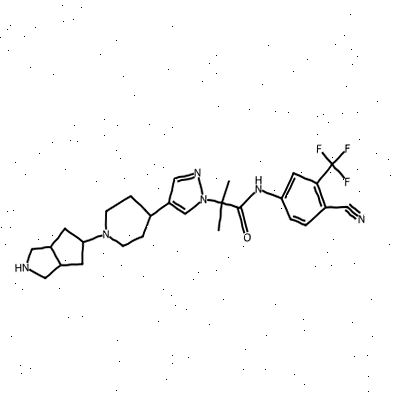 CC(C)(C(=O)Nc1ccc(C#N)c(C(F)(F)F)c1)n1cc(C2CCN(C3CC4CNCC4C3)CC2)cn1